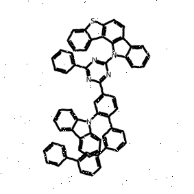 c1ccc(-c2cccc(-c3cccc(-c4ccc(-c5nc(-c6ccccc6)nc(-n6c7ccccc7c7ccc8sc9ccccc9c8c76)n5)cc4-n4c5ccccc5c5ccccc54)c3)c2)cc1